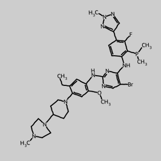 CCc1cc(Nc2ncc(Br)c(Nc3ccc(-c4cnn(C)n4)c(F)c3P(C)C)n2)c(OC)cc1N1CCC(N2CCN(C)CC2)CC1